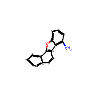 Nc1cccc2oc3c4ccccc4ccc3c12